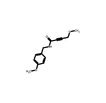 COCC#CC(=O)NCc1ccc(OC)cc1